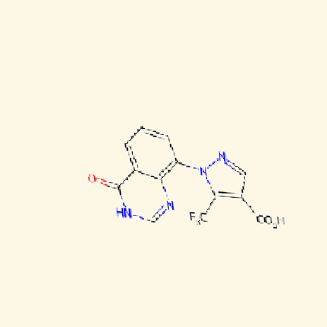 O=C(O)c1cnn(-c2cccc3c(=O)[nH]cnc23)c1C(F)(F)F